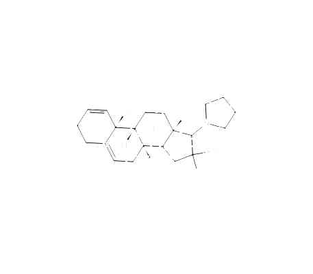 C[C@]12C=CCCC1=CC[C@@H]1[C@H]2CC[C@]2(C)C(N3CCCC3)C(O)(O)C[C@@H]12